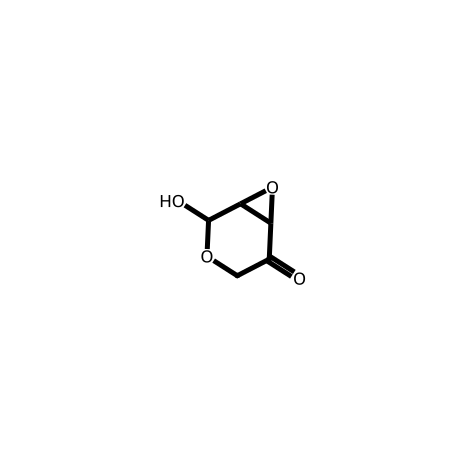 O=C1COC(O)C2OC12